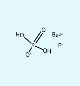 O=P([O-])(O)O.[Be+2].[F-]